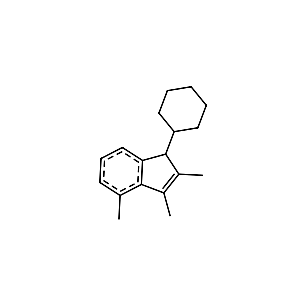 CC1=C(C)C(C2CCCCC2)c2cccc(C)c21